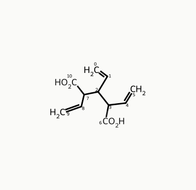 C=C[C](C(C=C)C(=O)O)C(C=C)C(=O)O